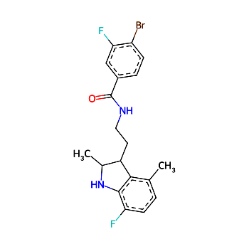 Cc1ccc(F)c2c1C(CCNC(=O)c1ccc(Br)c(F)c1)C(C)N2